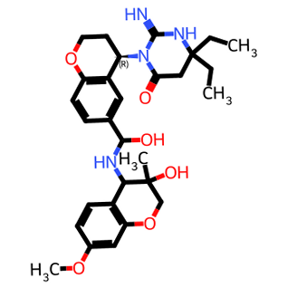 CCC1(CC)CC(=O)N([C@@H]2CCOc3ccc(C(O)NC4c5ccc(OC)cc5OCC4(C)O)cc32)C(=N)N1